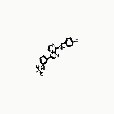 CS(=O)(=O)Nc1cccc(-c2cnc3c(NCc4ccc(F)cc4)nccn23)c1